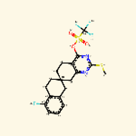 CSc1nc2c(c(OS(=O)(=O)C(F)(F)F)n1)CC[C@@]1(CCc3c(F)cccc3C1)C2